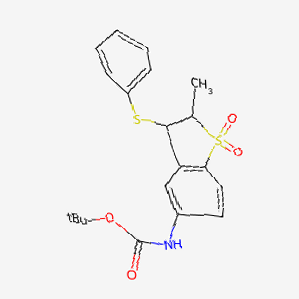 CC1C(Sc2ccccc2)c2cc(NC(=O)OC(C)(C)C)ccc2S1(=O)=O